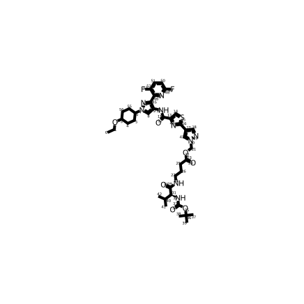 CCOC1CCC(n2cc(NC(=O)c3csc(-c4cnn(COC(=O)CCCNC(=O)[C@@H](NC(=O)OC(C)(C)C)C(C)C)c4)n3)c(-c3nc(F)ccc3F)n2)CC1